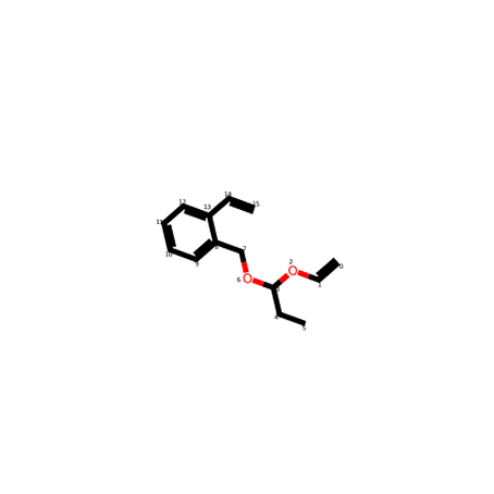 C=COC(CC)OCc1ccccc1C=C